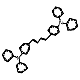 C(C=Cc1ccc(N(c2ccccc2)c2ccccc2)cc1)=Cc1ccc(N(c2ccccc2)c2ccccc2)cc1